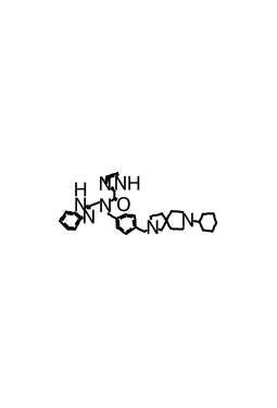 O=C(c1ncc[nH]1)N(Cc1ccc(CN2CCC3(CCN(C4CCCCC4)CC3)C2)cc1)Cc1nc2ccccc2[nH]1